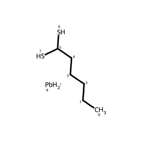 CCCCCC(S)S.[PbH2]